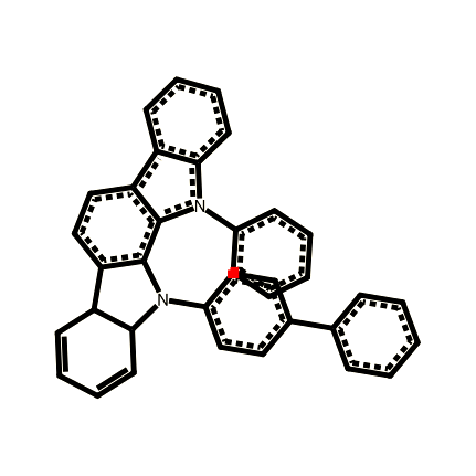 C1=CC2c3ccc4c5ccccc5n(-c5ccccc5)c4c3N(c3ccc(-c4ccccc4)cc3)C2C=C1